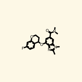 Cc1nc2c(OC3CCOc4cc(F)ccc43)cc(C(=O)N(C)C)cc2n1C